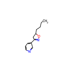 CCCCC1CC(c2cccnc2)=NO1